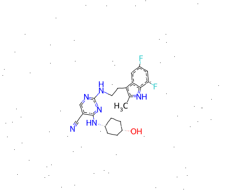 Cc1[nH]c2c(F)cc(F)cc2c1CCNc1ncc(C#N)c(N[C@H]2CC[C@@H](O)CC2)n1